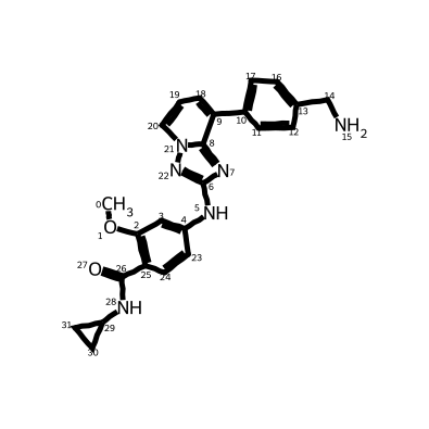 COc1cc(Nc2nc3c(-c4ccc(CN)cc4)cccn3n2)ccc1C(=O)NC1CC1